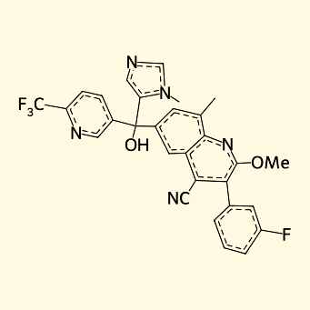 COc1nc2c(C)cc(C(O)(c3ccc(C(F)(F)F)nc3)c3cncn3C)cc2c(C#N)c1-c1cccc(F)c1